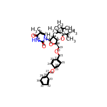 Cc1cn([C@H]2C[C@H](O[Si](C(C)C)(C(C)C)C(C)C)[C@@H](COCc3ccc(OCc4ccccc4)cc3)O2)c(=O)[nH]c1=O